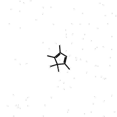 CC1=CC(C)=C(C)C1(C)I